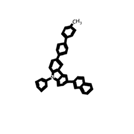 Cc1ccc(-c2ccc(-c3ccc4c(c3)c3cc(-c5ccc6ccccc6c5)ccc3n4-c3ccccc3)cc2)cc1